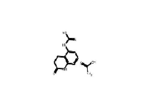 NC(O)=S.O=C1CCc2c(cccc2NC(O)=S)N1